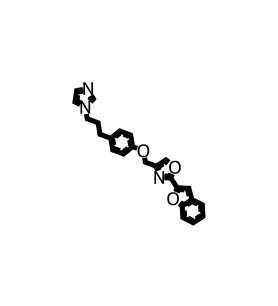 c1ccc2oc(-c3nc(COc4ccc(CCCn5ccnc5)cc4)co3)cc2c1